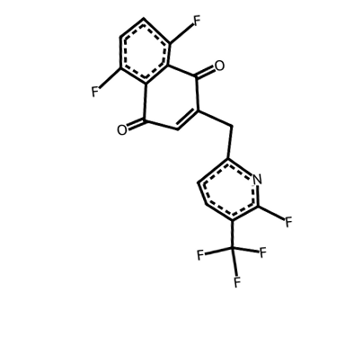 O=C1C=C(Cc2ccc(C(F)(F)F)c(F)n2)C(=O)c2c(F)ccc(F)c21